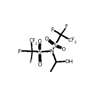 CC(O)N(S(=O)(=O)C(F)(F)C(F)(F)F)S(=O)(=O)C(F)(F)C(F)(F)F